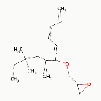 C=C/C=C\C=C(\OCC1CO1)C(=C)CC(C)(C)CC